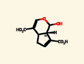 O=C(O)C1=COC(O)[C@@H]2C(C(=O)O)=CCC12